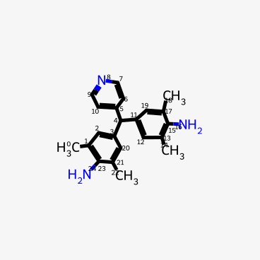 Cc1cc(C(c2ccncc2)c2cc(C)c(N)c(C)c2)cc(C)c1N